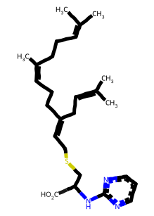 CC(C)=CCCC(C)=CCCC(=CCSCC(Nc1ncccn1)C(=O)O)CC=C(C)C